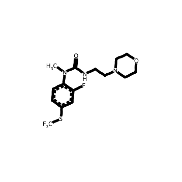 CN(C(=O)NCCN1CCOCC1)c1ccc(SC(F)(F)F)cc1F